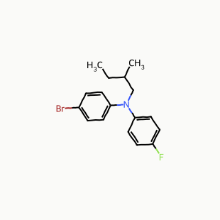 CCC(C)CN(c1ccc(F)cc1)c1ccc(Br)cc1